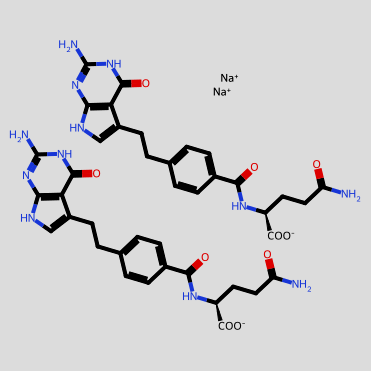 NC(=O)CC[C@H](NC(=O)c1ccc(CCc2c[nH]c3nc(N)[nH]c(=O)c23)cc1)C(=O)[O-].NC(=O)CC[C@H](NC(=O)c1ccc(CCc2c[nH]c3nc(N)[nH]c(=O)c23)cc1)C(=O)[O-].[Na+].[Na+]